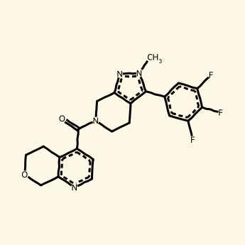 Cn1nc2c(c1-c1cc(F)c(F)c(F)c1)CCN(C(=O)c1ccnc3c1CCOC3)C2